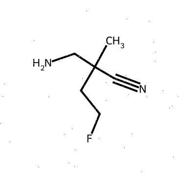 CC(C#N)(CN)CCF